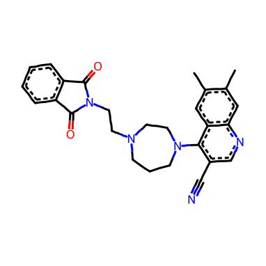 Cc1cc2ncc(C#N)c(N3CCCN(CCN4C(=O)c5ccccc5C4=O)CC3)c2cc1C